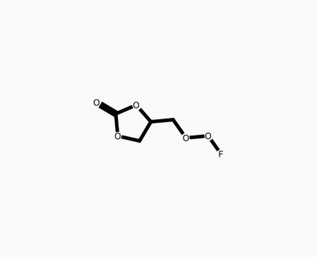 O=C1OCC(COOF)O1